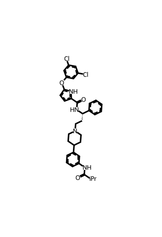 CC(C)C(=O)Nc1cccc(C2CCN(CC[C@H](NC(=O)c3ccc(Oc4cc(Cl)cc(Cl)c4)[nH]3)c3ccccc3)CC2)c1